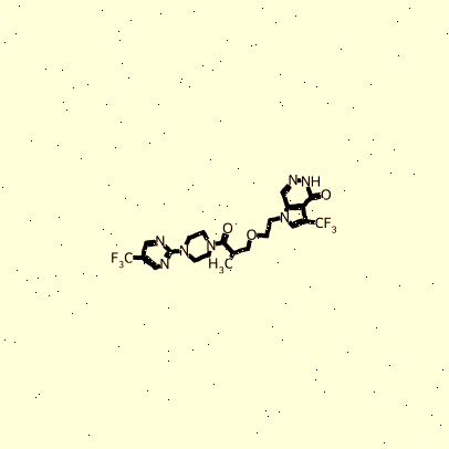 CC(COCCn1cc(C(F)(F)F)c2c(=O)[nH]ncc21)C(=O)N1CCN(c2ncc(C(F)(F)F)cn2)CC1